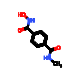 CNC(=O)c1ccc(C(=O)NO)cc1